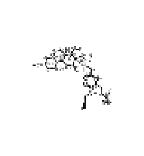 C#CCNC(=O)C(CCC1(C)N=N1)NC(=O)CC[C@@H](C)[C@H]1CC[C@H]2[C@@H]3CC[C@@H]4C[C@H](O)CC[C@]4(C)C3CC(O)[C@]12C